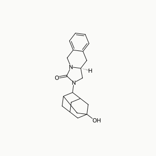 O=C1N(C2C3CC4CC2CC(O)(C4)C3)C[C@@H]2Cc3ccccc3CN12